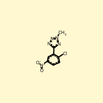 Cn1nnc(-c2cc([N+](=O)[O-])ccc2Cl)n1